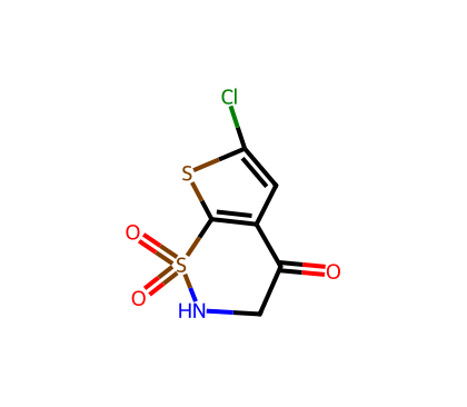 O=C1CNS(=O)(=O)c2sc(Cl)cc21